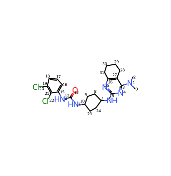 CN(C)c1nc(NC2CCC(NC(=O)Nc3cccc(Cl)c3Cl)CC2)nc2c1CCCC2